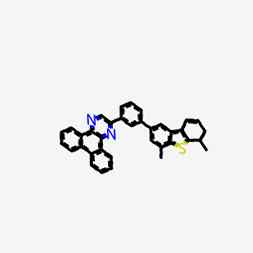 Cc1cc(-c2cccc(-c3cnc4c5ccccc5c5ccccc5c4n3)c2)cc2c3c(sc12)C(C)CC=C3